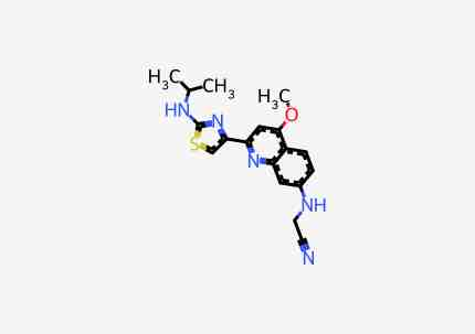 COc1cc(-c2csc(NC(C)C)n2)nc2cc(NCC#N)ccc12